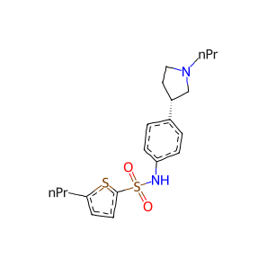 CCCc1ccc(S(=O)(=O)Nc2ccc([C@@H]3CCN(CCC)C3)cc2)s1